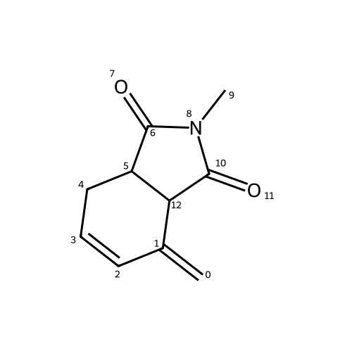 C=C1C=CCC2C(=O)N(C)C(=O)C12